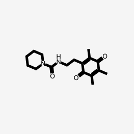 CC1=C(C)C(=O)C(CCNC(=O)N2CCCCC2)=C(C)C1=O